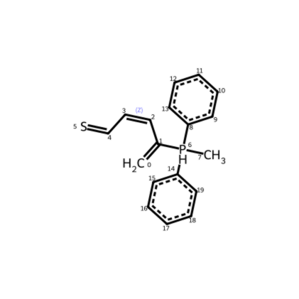 C=C(/C=C\C=S)[PH](C)(c1ccccc1)c1ccccc1